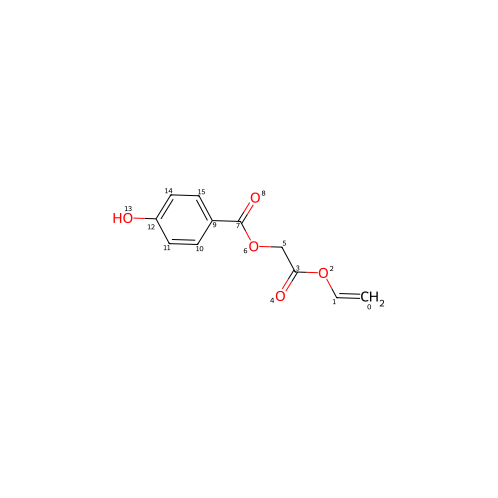 C=COC(=O)COC(=O)c1ccc(O)cc1